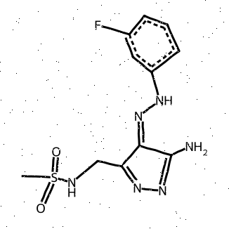 CS(=O)(=O)NCC1=NN=C(N)/C1=N\Nc1cccc(F)c1